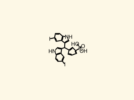 O=P(O)(O)c1cccc(C(c2c[nH]c3ccc(I)cc23)c2c[nH]c3ccc(I)cc23)c1